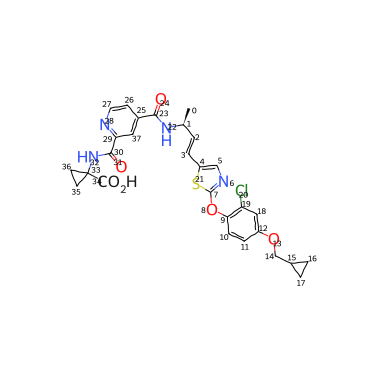 C[C@@H](/C=C/c1cnc(Oc2ccc(OCC3CC3)cc2Cl)s1)NC(=O)c1ccnc(C(=O)NC2(C(=O)O)CC2)c1